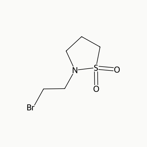 O=S1(=O)CCCN1CCBr